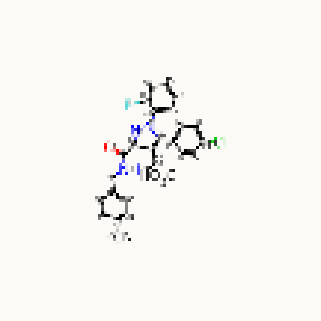 N#Cc1ccc(CNC(=O)c2nn(-c3ccccc3F)c(-c3ccc(Cl)cc3)c2CC(=O)O)cc1